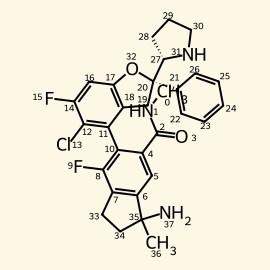 CNC(=O)c1cc2c(c(F)c1-c1c(Cl)c(F)cc3c1C[C@](c1ccccc1)([C@@H]1CCCN1)O3)CCC2(C)N